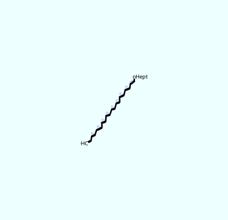 [CH]=C/C=C/C=C/C=C/C=C/C=C/C=C/C=C/C=C/C=C/CCCCCCC